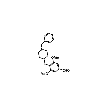 COc1cc(C=O)cc(OC)c1OC1CCN(Cc2ccccc2)CC1